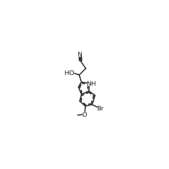 COc1cc2cc(C(O)CC#N)[nH]c2cc1Br